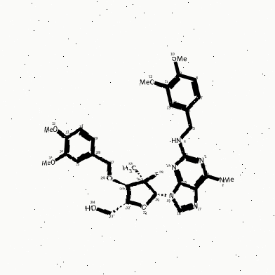 CNc1nc(NCc2ccc(OC)c(OC)c2)nc2c1ncn2[C@@H]1O[C@H](CO)[C@@H](OCc2ccc(OC)c(OC)c2)[C@@]1(C)F